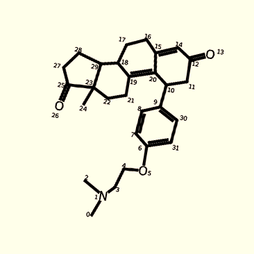 CN(C)CCOc1ccc(C2CC(=O)C=C3CCC4C(=C32)CCC2(C)C(=O)CCC42)cc1